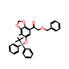 Cc1c(O[Si](c2ccccc2)(c2ccccc2)C(C)(C)C)cc(C(=O)COCc2ccccc2)c2c1OCO2